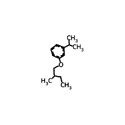 CCC(C)COc1cccc(C(C)C)c1